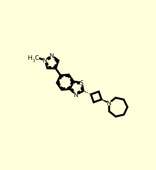 Cn1cc(-c2ccc3nc([C@H]4C[C@H](N5CCCCCC5)C4)sc3c2)cn1